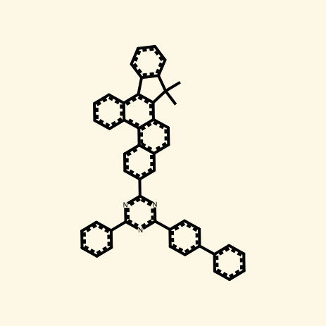 CC1(C)c2ccccc2-c2c1c1ccc3cc(-c4nc(-c5ccccc5)nc(-c5ccc(-c6ccccc6)cc5)n4)ccc3c1c1ccccc21